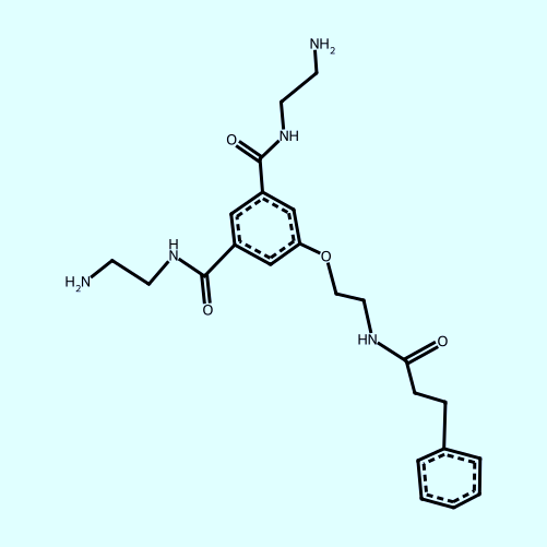 NCCNC(=O)c1cc(OCCNC(=O)CCc2ccccc2)cc(C(=O)NCCN)c1